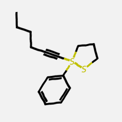 CCCCC#CS1(c2ccccc2)CCCS1